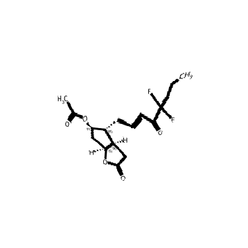 CCCC(F)(F)C(=O)C=CC[C@@H]1[C@H]2CC(=O)O[C@H]2C[C@H]1OC(C)=O